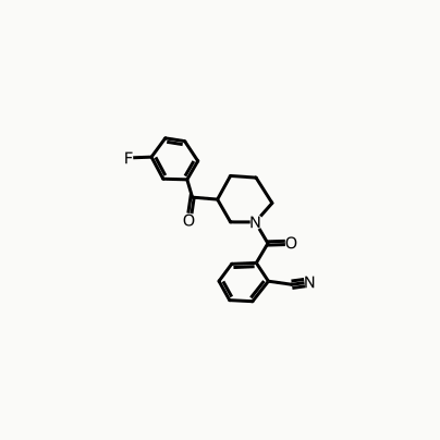 N#Cc1ccccc1C(=O)N1CCCC(C(=O)c2cccc(F)c2)C1